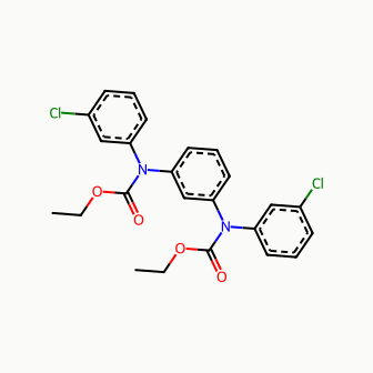 CCOC(=O)N(c1cccc(Cl)c1)c1cccc(N(C(=O)OCC)c2cccc(Cl)c2)c1